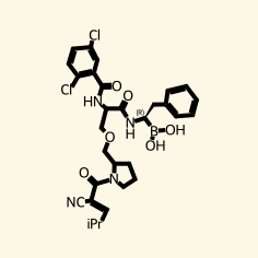 CC(C)C=C(C#N)C(=O)N1CCCC1COCC(NC(=O)c1cc(Cl)ccc1Cl)C(=O)N[C@@H](Cc1ccccc1)B(O)O